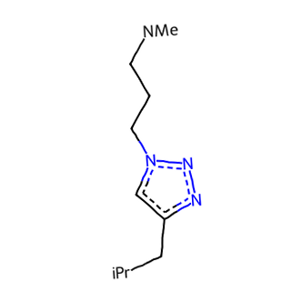 CNCCCn1cc(CC(C)C)nn1